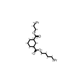 CC(C)CCCCOC(=O)C1CCCC(C(=O)OCCC(C)C)C1